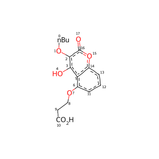 CCCCOc1c(O)c2c(OCCC(=O)O)cccc2oc1=O